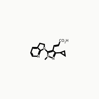 Cn1nc(C2CC2)c(C=CC(=O)O)c1N1CCc2cccnc21